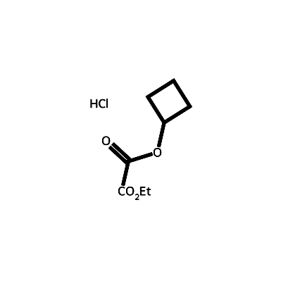 CCOC(=O)C(=O)OC1CCC1.Cl